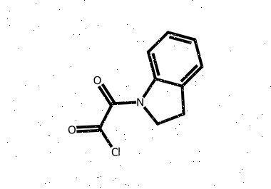 O=C(Cl)C(=O)N1CCc2ccccc21